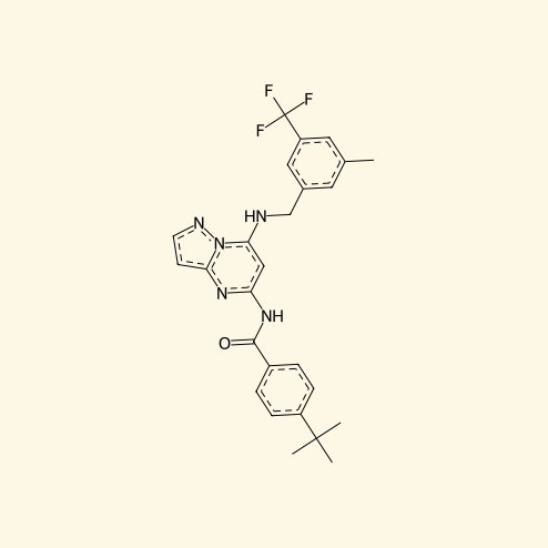 Cc1cc(CNc2cc(NC(=O)c3ccc(C(C)(C)C)cc3)nc3ccnn23)cc(C(F)(F)F)c1